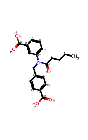 CCCCC(=O)N(Cc1ccc(C(=O)O)cc1)c1cccc(C(=O)O)c1